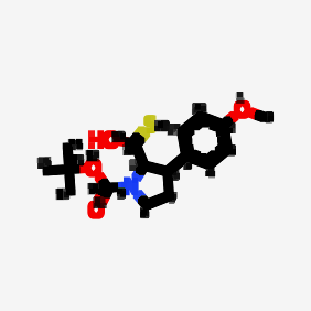 COc1ccc(C2CCN(C(=O)OC(C)(C)C)C2C(O)=S)cc1